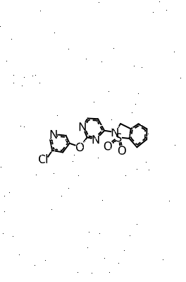 O=S1(=O)c2ccccc2CN1c1ccnc(Oc2cncc(Cl)c2)n1